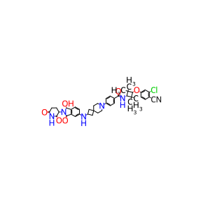 CC1(C)[C@H](NC(=O)c2ccc(N3CCC4(CC3)CC(Nc3ccc5c(c3)C(=O)N(C3CCC(=O)NC3=O)C5O)C4)cc2)C(C)(C)[C@H]1Oc1ccc(C#N)c(Cl)c1